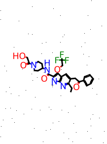 CCc1nc2c(cc1CC(=O)c1ccccc1)c(OCC(F)(F)F)c(C(=O)NC1CCN(C(=O)CO)CC1)n2C